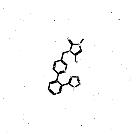 CCCc1cn(C)c(=O)n1Cc1ccc(-c2ccccc2-c2nnn[nH]2)nc1